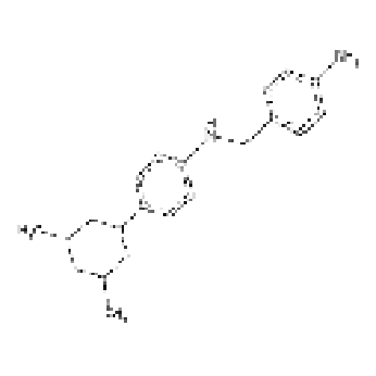 CC1CC(C)CN(c2ccc(NCc3ccc(N)cc3)cc2)C1